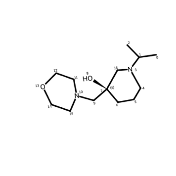 CC(C)N1CCC[C@](O)(CN2CCOCC2)C1